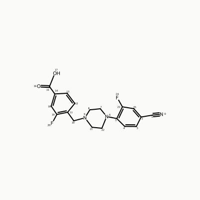 N#Cc1ccc(N2CCN(Cc3ccc(C(=O)O)cc3F)CC2)c(F)c1